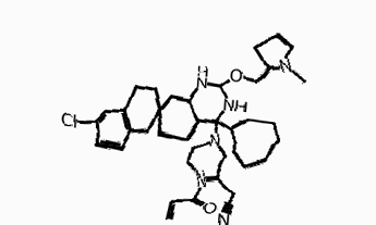 C=CC(=O)N1CCN(C2(C3CCCCCC3)NC(OCC3CCCN3C)NC3CC4(CCc5cc(Cl)ccc5C4)CCC32)CC1CC#N